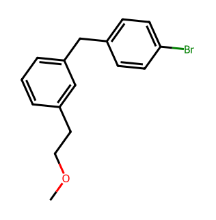 COCCc1cccc(Cc2ccc(Br)cc2)c1